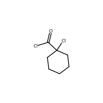 O=C(Cl)C1(Cl)CCCCC1